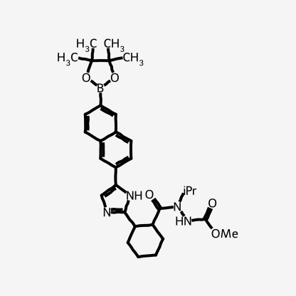 COC(=O)NN(C(=O)C1CCCCC1c1ncc(-c2ccc3cc(B4OC(C)(C)C(C)(C)O4)ccc3c2)[nH]1)C(C)C